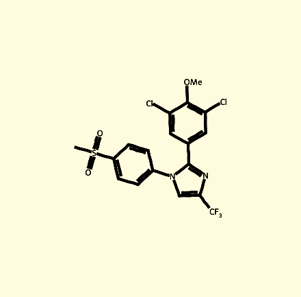 COc1c(Cl)cc(-c2nc(C(F)(F)F)cn2-c2ccc(S(C)(=O)=O)cc2)cc1Cl